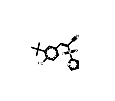 CC(C)(C)c1cc(C=C(C#N)S(=O)(=O)c2cccs2)ccc1O